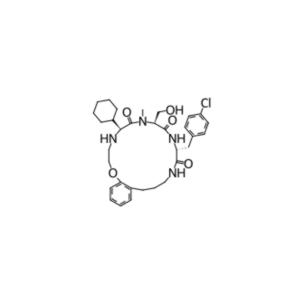 CN1C(=O)[C@H](C2CCCCC2)NCCOc2ccccc2CCCNC(=O)[C@@H](Cc2ccc(Cl)cc2)NC(=O)[C@@H]1CO